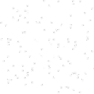 CCCCN(CCCC)CCCNc1nc(NC2CCC2)nc(NC23CC4CC(CC(C4)C2)C3)n1